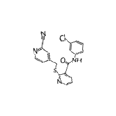 N#Cc1cc(CSc2ncccc2C(=O)Nc2cccc(Cl)c2)ccn1